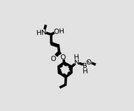 CCc1ccc(OC(=O)/C=C/C(O)NC)c(NBOC)c1